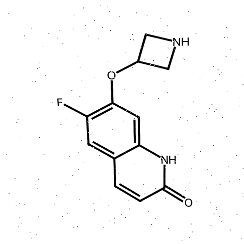 O=c1ccc2cc(F)c(OC3CNC3)cc2[nH]1